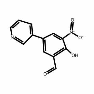 O=Cc1cc(-c2cccnc2)cc([N+](=O)[O-])c1O